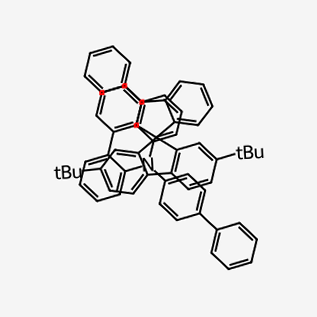 CC(C)(C)c1ccc2c(c1)C1(c3cc(C(C)(C)C)ccc3-2)c2ccccc2-c2cccc(-c3ccccc3N(c3ccc(-c4ccccc4)cc3)c3cccc(-c4ccccc4)c3)c21